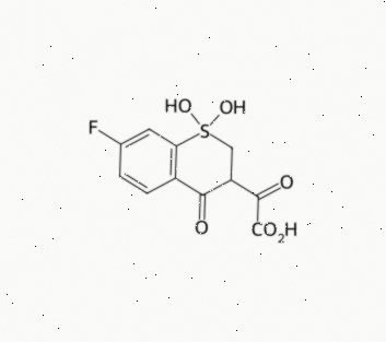 O=C(O)C(=O)C1CS(O)(O)c2cc(F)ccc2C1=O